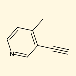 C#Cc1cnccc1C